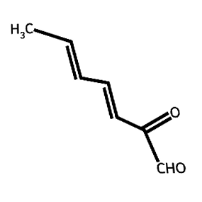 C/C=C/C=C/C(=O)C=O